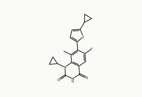 Cc1c(-c2ccc([C]3CC3)s2)c(F)cc2c(=O)[nH]c(=O)n(C3CC3)c12